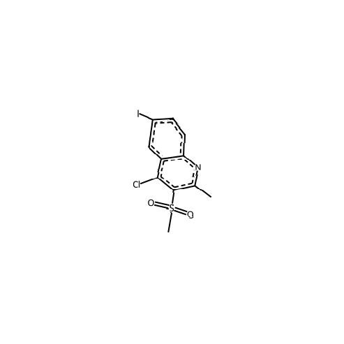 Cc1nc2ccc(I)cc2c(Cl)c1S(C)(=O)=O